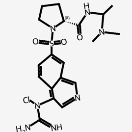 CC(NC(=O)[C@H]1CCCN1S(=O)(=O)c1ccc2c(N(Cl)C(=N)N)cncc2c1)N(C)C